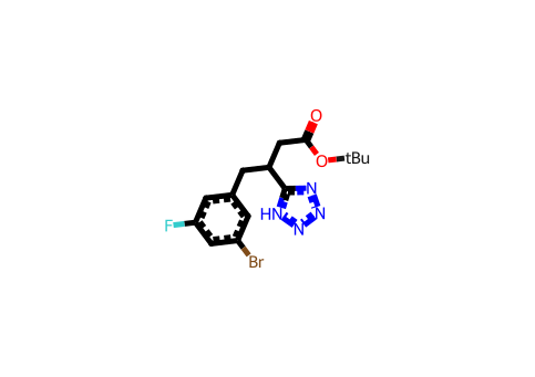 CC(C)(C)OC(=O)CC(Cc1cc(F)cc(Br)c1)c1nnn[nH]1